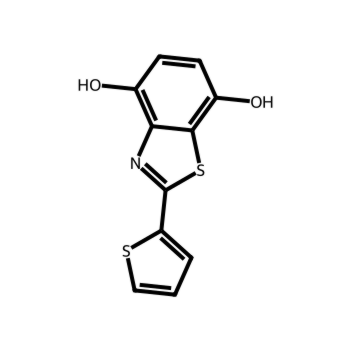 Oc1ccc(O)c2sc(-c3cccs3)nc12